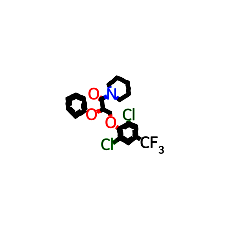 O=C(C(COc1c(Cl)cc(C(F)(F)F)cc1Cl)Oc1ccccc1)N1CCCCC1